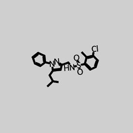 Cc1c(Cl)cccc1S(=O)(=O)NCc1cc(CC(C)C)n(-c2ccccc2)n1